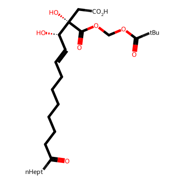 CCCCCCCC(=O)CCCCCC/C=C/[C@H](O)[C@@](O)(CC(=O)O)C(=O)OCOC(=O)C(C)(C)C